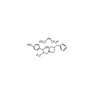 CC(CN1CCC(Cc2ccccc2)CC1)C(O)c1ccc(O)cc1.O=C(O)/C=C\C(=O)O